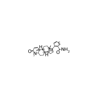 CN1C(=O)C=C[C@@]2(C)C1CC[C@@H]1[C@H]2CC[C@]2(C)C(c3ccsc3C(N)=O)CC[C@@H]12